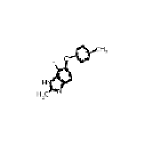 Cc1ccc(Oc2ccc3nc(C)[nH]c3c2F)cc1